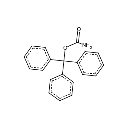 NC(=O)OC(c1ccccc1)(c1ccccc1)c1ccccc1